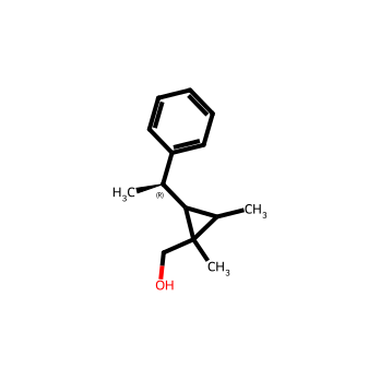 CC1C([C@@H](C)c2ccccc2)C1(C)CO